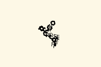 Cc1ccc(C)c([C@@]2(CCN3CCN(C4CCCCC4)CC3)CCCN(C(=O)Cc3cc(C(F)(F)F)cc(C(F)(F)F)c3)C2)c1